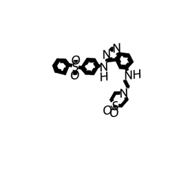 O=S1(=O)CCN(CCNc2ccc3ncnc(Nc4ccc(S(=O)(=O)c5ccccc5)cc4)c3c2)CC1